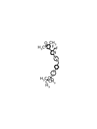 Cc1cc(-c2ccc(N3CCN(Cc4ccc(N5CCN(C(=O)OC(C)(C)C)CC5)cc4)CC3)nc2C(F)F)cn(C)c1=O